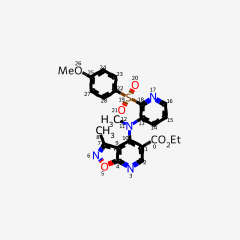 CCOC(=O)c1cnc2onc(C)c2c1N(C)c1cccnc1S(=O)(=O)c1ccc(OC)cc1